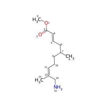 COC(=O)C=CCC(C)CCC=C(C)CN